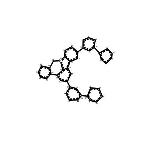 c1ccc(-c2cccc(-c3ccc4c(c3)c3cc(-c5cccc(-c6ccccc6)c5)cc5c3n4Cc3ccccc3-5)c2)cc1